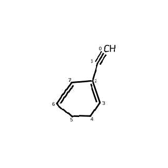 C#CC1=CCCC=C1